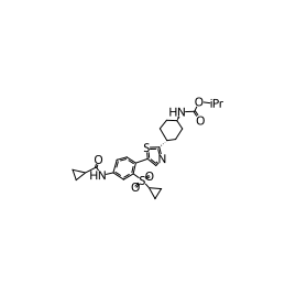 CC(C)OC(=O)N[C@H]1CC[C@H](c2ncc(-c3ccc(NC(=O)C4CC4)cc3S(=O)(=O)C3CC3)s2)CC1